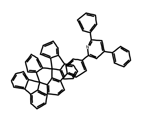 c1ccc(-c2cc(-c3ccccc3)nc(-c3ccc(-c4cccc5c4C4(c6ccccc6-c6ccccc64)c4ccccc4C54c5ccccc5-c5ccccc54)cc3)c2)cc1